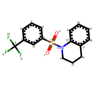 O=S(=O)(c1cccc(C(F)(F)F)c1)N1CCCc2ccccc21